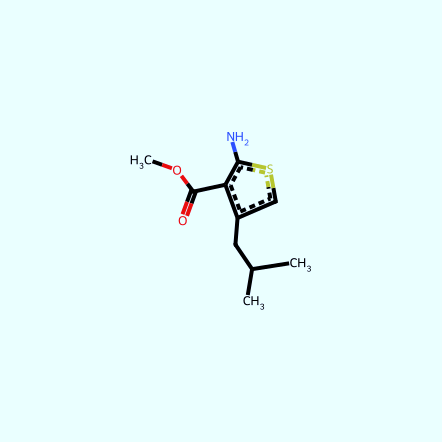 COC(=O)c1c(CC(C)C)csc1N